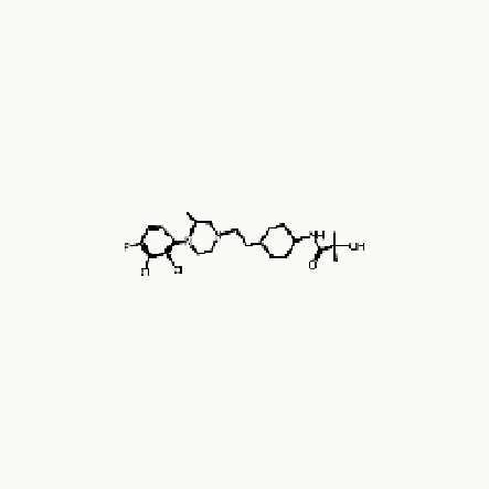 CC1CN(CCC2CCC(NC(=O)C(C)(C)O)CC2)CCN1c1ccc(F)c(Cl)c1Cl